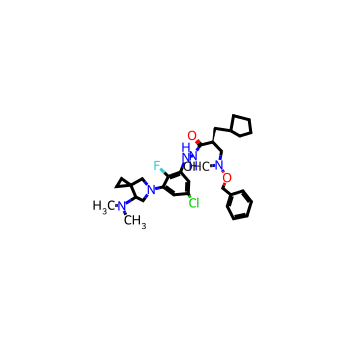 CN(C)C1CN(c2cc(Cl)cc(NNC(=O)[C@@H](CC3CCCC3)CN(C=O)OCc3ccccc3)c2F)CC12CC2